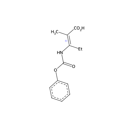 CC/C(NC(=O)Oc1ccccc1)=C(/C)C(=O)O